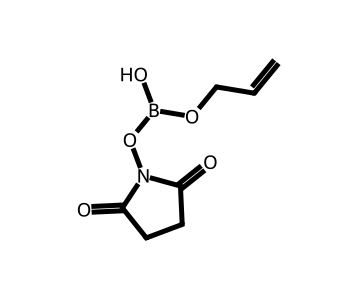 C=CCOB(O)ON1C(=O)CCC1=O